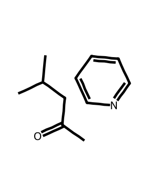 CC(=O)CC(C)C.c1ccncc1